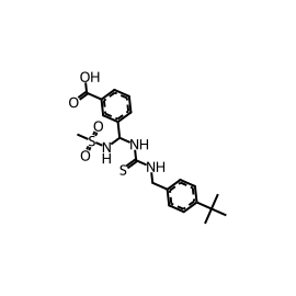 CC(C)(C)c1ccc(CNC(=S)NC(NS(C)(=O)=O)c2cccc(C(=O)O)c2)cc1